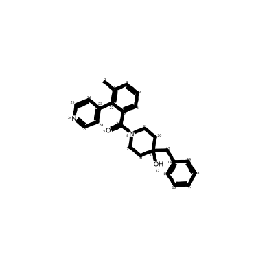 Cc1cccc(C(=O)N2CCC(O)(Cc3ccccc3)CC2)c1-c1ccncc1